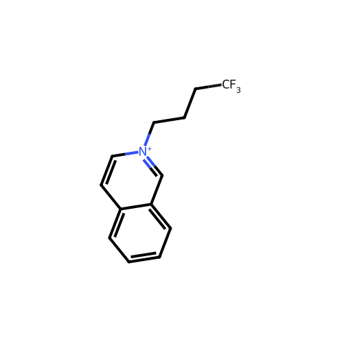 FC(F)(F)CCC[n+]1ccc2ccccc2c1